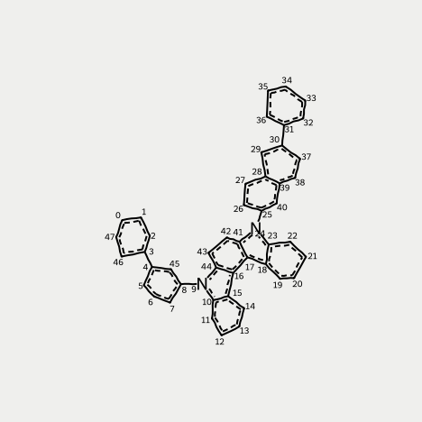 c1ccc(-c2cccc(-n3c4ccccc4c4c5c6ccccc6n(-c6ccc7cc(-c8ccccc8)ccc7c6)c5ccc43)c2)cc1